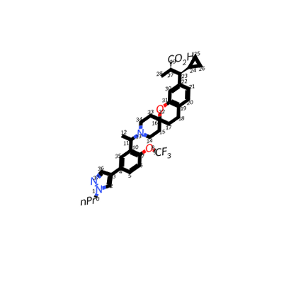 CCCn1cc(-c2ccc(OC(F)(F)F)c(C(C)N3CCC4(CCc5ccc([C@H](C6CC6)[C@H](C)C(=O)O)cc5O4)CC3)c2)cn1